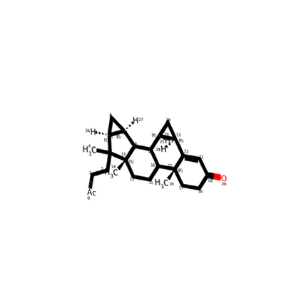 CC(=O)CCC1(C)[C@H]2C[C@H]2C2C3C(CC[C@@]21C)[C@@]1(C)CCC(=O)C=C1[C@@H]1C[C@H]31